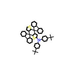 CC(C)(C)c1ccc(N(c2ccc(C(C)(C)C)cc2)c2cc3c(s2)C2(c4ccccc4-c4ccccc42)c2ccsc2C32c3ccccc3-c3ccccc32)cc1